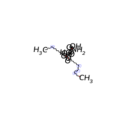 CCCC/C=C\CCCCCCCC(=O)O[C@H](COC(=O)CCCCCC/C=C\C/C=C\C/C=C\CCCCC)COP(=O)(O)OC[C@H](N)C(=O)O